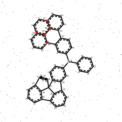 c1ccc(Cc2cc(N(c3ccccc3)c3ccc4c(c3)-c3cccc5c3C43c4ccccc4-c4cccc-5c43)ccc2-c2ccccc2-c2ccccc2)cc1